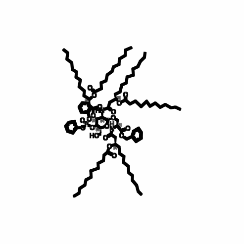 CCCCCCCCCCCC(=O)O[C@H](CCCCCCCCCCC)CC(=O)N[C@H]1[C@H](OC[C@H](NC(=O)C[C@@H](CCCCCCCCCCC)OC(=O)CCCCCCCCCCC)C(=O)OCc2ccccc2)O[C@H](CO)[C@@H](OP(=O)(Oc2ccccc2)Oc2ccccc2)[C@@H]1OC(=O)C[C@@H](CCCCCCCCCCC)OC(=O)CCCCCCCCCCC